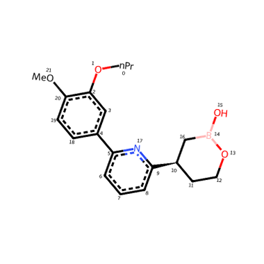 CCCOc1cc(-c2cccc([C@@H]3CCOB(O)C3)n2)ccc1OC